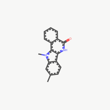 Cc1ccc2c3[nH]c(=O)c4ccccc4c3n(C)c2c1